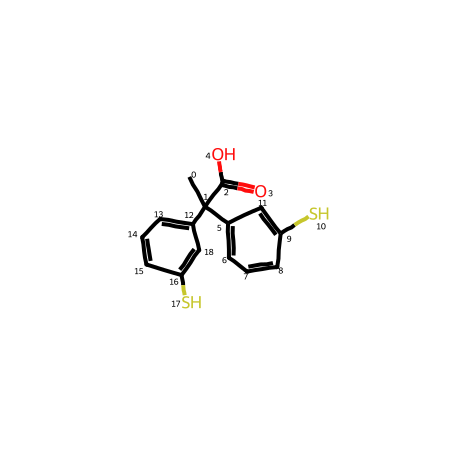 CC(C(=O)O)(c1cccc(S)c1)c1cccc(S)c1